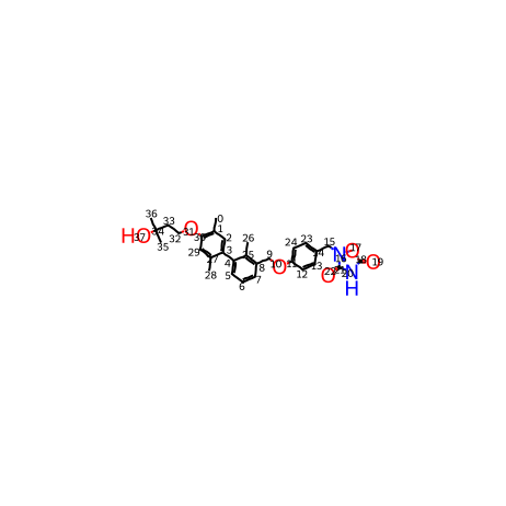 Cc1cc(-c2cccc(COc3ccc(Cn4oc(=O)[nH]c4=O)cc3)c2C)c(C)cc1OCCC(C)(C)O